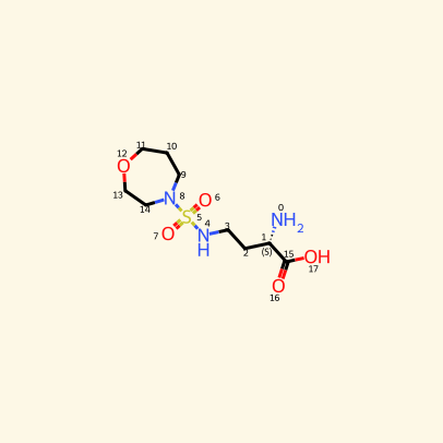 N[C@@H](CCNS(=O)(=O)N1CCCOCC1)C(=O)O